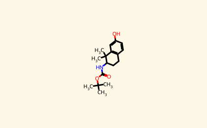 CC(C)(C)OC(=O)NC1CCc2ccc(O)cc2C1(C)C